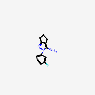 Nc1c2c(nn1-c1cccc(F)c1)CCC2